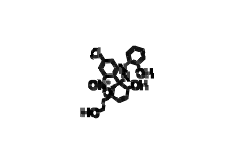 O=[N+]([O-])c1cc(Cl)ccc1C1(N=Nc2ccccc2O)C=C(CCO)C=CC1O